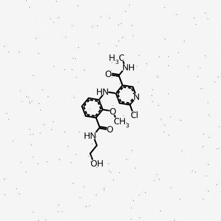 CNC(=O)c1cnc(Cl)cc1Nc1cccc(C(=O)NCCO)c1OC